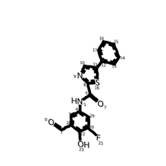 O=Cc1cc(NC(=O)c2ncc(-c3ccccc3)s2)cc(F)c1O